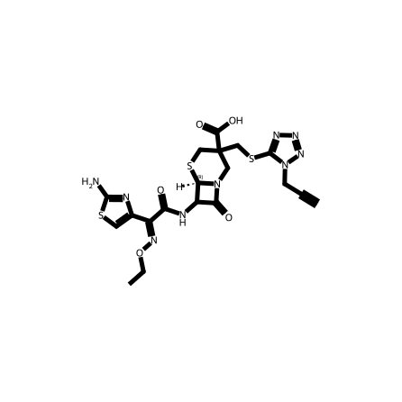 C#CCn1nnnc1SCC1(C(=O)O)CS[C@@H]2C(NC(=O)C(=NOCC)c3csc(N)n3)C(=O)N2C1